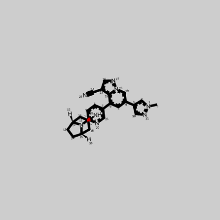 Cn1cc(-c2cc(-c3ccc(N4[C@@H]5CC[C@H]4C[C@H](N)C5)nc3)c3c(C#N)cnn3c2)cn1